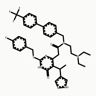 CCN(CC)CCN(Cc1ccc(-c2ccc(C(F)(F)F)cc2)cc1)C(=O)Cc1nc(SCc2ccc(F)cc2)[nH]c(=O)c1C(C)c1cn[nH]c1